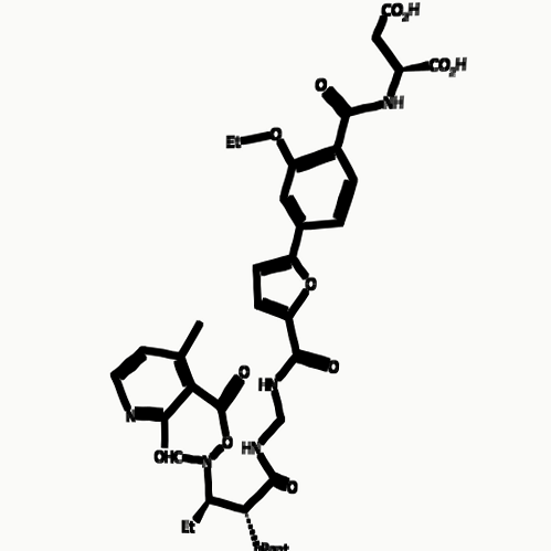 CCCCC[C@@H](C(=O)NCNC(=O)c1ccc(-c2ccc(C(=O)N[C@@H](CC(=O)O)C(=O)O)c(OCC)c2)o1)[C@@H](CC)N(C=O)OC(=O)c1c(C)ccnc1C